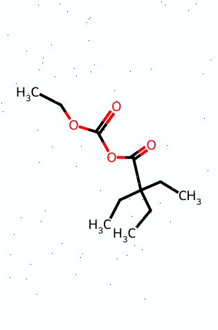 CCOC(=O)OC(=O)C(CC)(CC)CC